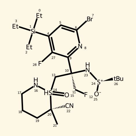 CC[Si](CC)(CC)c1cc(Br)nc([C@](CF)(C[SH]2(=O)NCCC[C@@]2(C)C#N)N[S@+]([O-])C(C)(C)C)c1F